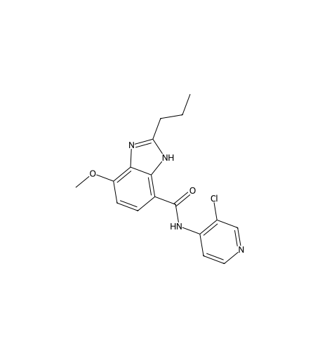 CCCc1nc2c(OC)ccc(C(=O)Nc3ccncc3Cl)c2[nH]1